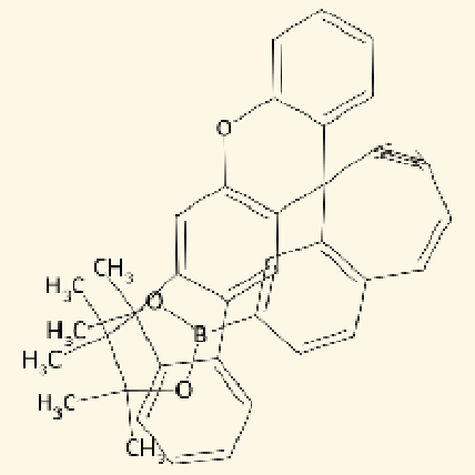 CC1(C)c2ccccc2-c2cc3c(cc21)Oc1ccccc1C31c2ccccc2C=Cc2ccc(B3OC(C)(C)C(C)(C)O3)cc21